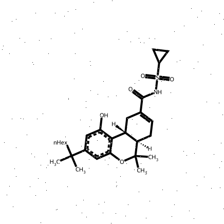 CCCCCCC(C)(C)c1cc(O)c2c(c1)OC(C)(C)[C@@H]1CC=C(C(=O)NS(=O)(=O)C3CC3)C[C@@H]21